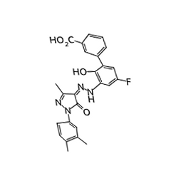 CC1=NN(c2ccc(C)c(C)c2)C(=O)/C1=N\Nc1cc(F)cc(-c2cccc(C(=O)O)c2)c1O